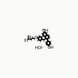 CCN(CC)CCCOc1ccc(Cc2c(-c3ccc(O)cc3)ccc3cc(O)ccc23)cc1.Cl